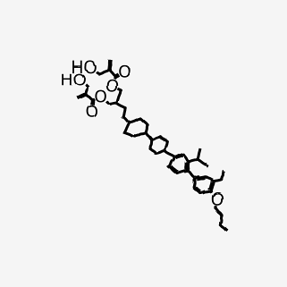 C=C(CO)C(=O)OCC(CCC1CCC(C2CCC(c3ccc(-c4ccc(OCCCC)c(CC)c4)c(C(C)C)c3)CC2)CC1)COC(=O)C(=C)CO